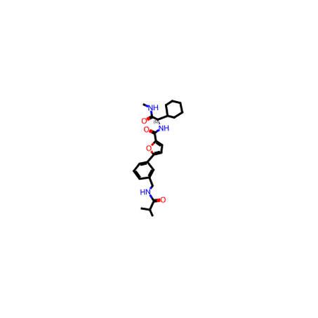 CNC(=O)[C@@H](NC(=O)c1ccc(-c2cccc(CNC(=O)C(C)C)c2)o1)C1CCCCC1